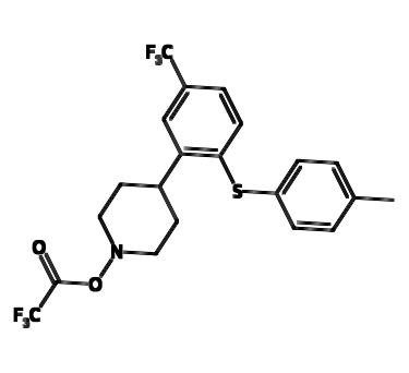 Cc1ccc(Sc2ccc(C(F)(F)F)cc2C2CCN(OC(=O)C(F)(F)F)CC2)cc1